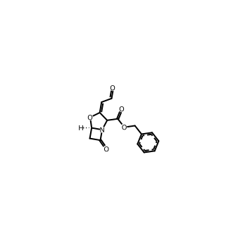 O=C/C=C1/O[C@@H]2CC(=O)N2C1C(=O)OCc1ccccc1